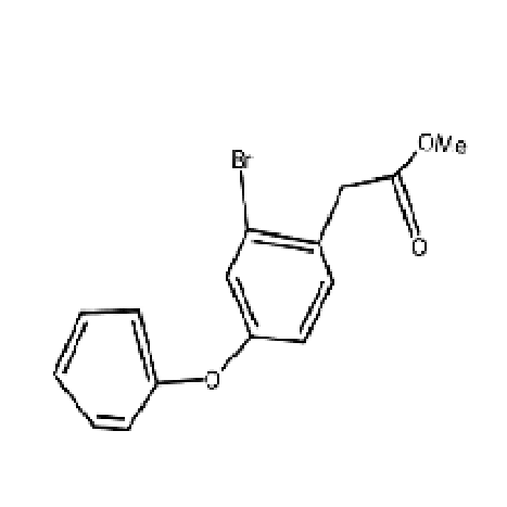 COC(=O)Cc1ccc(Oc2ccccc2)cc1Br